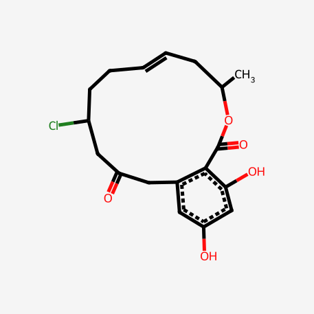 CC1C/C=C/CCC(Cl)CC(=O)Cc2cc(O)cc(O)c2C(=O)O1